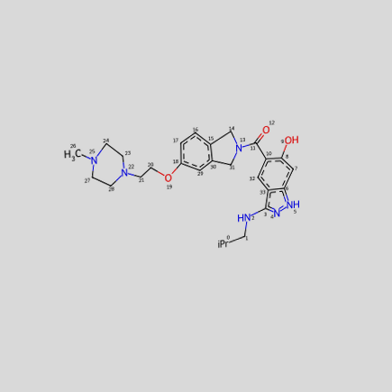 CC(C)CNc1n[nH]c2cc(O)c(C(=O)N3Cc4ccc(OCCN5CCN(C)CC5)cc4C3)cc12